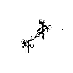 CCCc1c(OCCOCCN2C(=O)NC(C)C2=O)ccc2c(C(F)(F)F)cc(=O)oc12